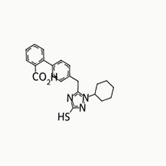 O=C(O)c1ccccc1-c1ccc(Cc2nc(S)nn2C2CCCCC2)cc1